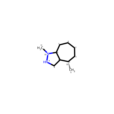 C[C@H]1CCCCC2C1CNN2C